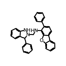 c1ccc(-c2ccc3c(oc4ccccc43)c2NCN2Nc3ccccc3C2c2ccccc2)cc1